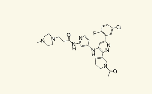 CC(=O)N1CCC=C(c2nnc(-c3cc(Cl)ccc3F)cc2Nc2ccnc(NC(=O)CCN3CCN(C)CC3)c2)C1